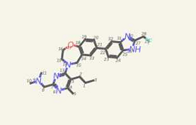 CCCc1c(C)nc(CN(C)C)nc1N1CCOc2ccc(-c3ccc4[nH]c(CF)nc4c3)cc2C1